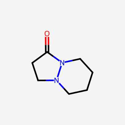 O=C1CCN2CCCCN12